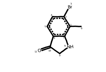 Cc1c(Br)ccc2c1NCC2=O